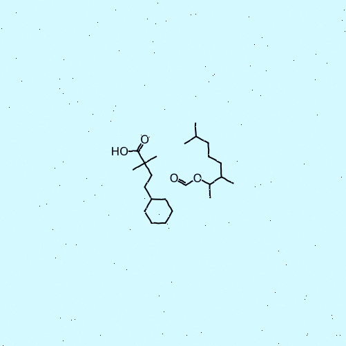 CC(C)(CCC1CCCCC1)C(=O)O.CC(C)CCCC(C)C(C)OC=O